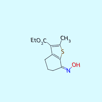 CCOC(=O)c1c(C)sc2c1CCC/C2=N/O